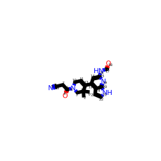 CC1(C)CN(C(=O)CC#N)CC=C1c1cc(NC=O)nc2[nH]ccc12